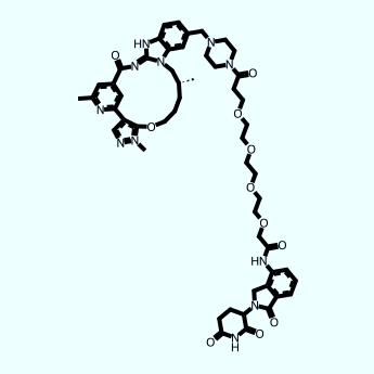 Cc1cc2cc(n1)-c1cnn(C)c1OCCC[C@@H](C)CN1/C(=N/C2=O)Nc2ccc(CN3CCN(C(=O)CCOCCOCCOCCOCC(=O)Nc4cccc5c4CN(C4CCC(=O)NC4=O)C5=O)CC3)cc21